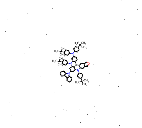 CC(C)(C)c1ccc(N(c2ccc(C(C)(C)C)cc2)c2ccc3c(c2)N(c2ccc(C(C)(C)C)cc2)c2cc(-n4c5ccccc5c5ccccc54)cc4c2B3c2cc3cocc3cc2N4c2ccc(C(C)(C)C)cc2)cc1